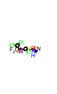 N#CC1(NC(=O)CSc2ccc(C3=NOC(c4cc(Cl)cc(Cl)c4)(C(F)(F)F)C3)cc2Cl)CC1